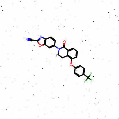 N#Cc1nc2ccc(N3CCc4c(Oc5ccc(C(F)(F)F)cc5)cccc4C3=O)cc2o1